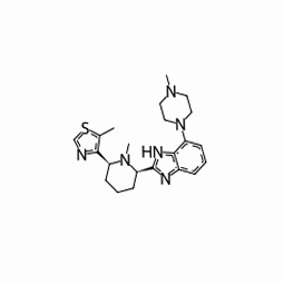 Cc1scnc1[C@@H]1CCC[C@H](c2nc3cccc(N4CCN(C)CC4)c3[nH]2)N1C